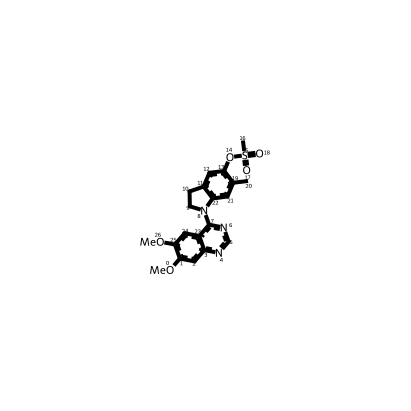 COc1cc2ncnc(N3CCc4cc(OS(C)(=O)=O)c(C)cc43)c2cc1OC